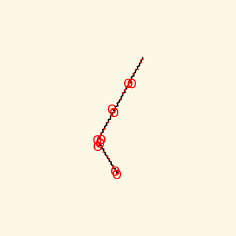 CCCCCCCCCCCCCCCC(=O)OCCCCCCCCCCCCCCCC(=O)OCCCCCCCCCCCCCCCC(=O)OC(C)OC(=O)CCCCCCCCCCCCCCCOC=O